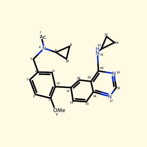 COc1ccc(CN(C(C)=O)C2CC2)cc1-c1ccc2ncnc(NC3CC3)c2c1